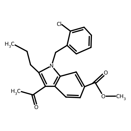 CCCc1c(C(C)=O)c2ccc(C(=O)OC)cc2n1Cc1ccccc1Cl